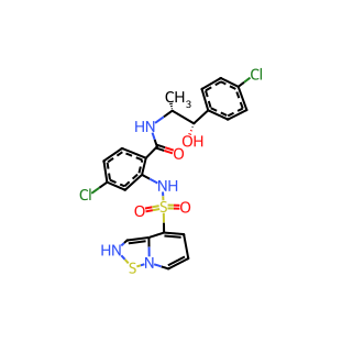 C[C@@H](NC(=O)c1ccc(Cl)cc1NS(=O)(=O)C1=CC=CN2SNC=C12)[C@@H](O)c1ccc(Cl)cc1